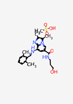 CS(=O)(=O)O.Cc1cccc(C)c1CNc1cc(C(=O)NCCCO)cn2c(C)c(C)nc12